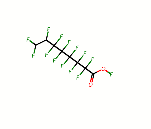 O=C(OF)C(F)(F)C(F)(F)C(F)(F)C(F)(F)C(F)(F)C(F)C(F)F